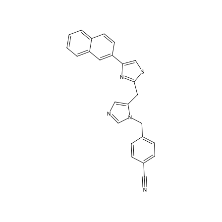 N#Cc1ccc(Cn2cncc2Cc2nc(-c3ccc4ccccc4c3)cs2)cc1